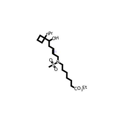 CCCC1(C(O)C/C=C/CN(CCCCCCC(=O)OCC)S(C)(=O)=O)CCC1